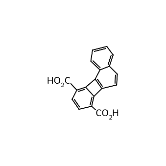 O=C(O)c1ccc(C(=O)O)c2c1-c1ccc3ccccc3c1-2